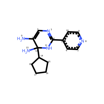 NC1=CN=C(c2ccncc2)NC1(N)C1CCCC1